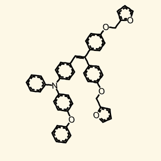 C(=C(c1ccc(OCc2ccco2)cc1)c1ccc(OCc2ccco2)cc1)c1ccc(N(c2ccccc2)c2ccc(Oc3ccccc3)cc2)cc1